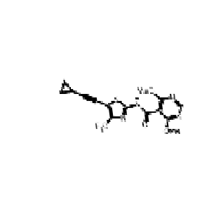 COc1ncnc(OC)c1C(=O)Nc1nc(C(F)(F)F)c(C#CC2CC2)s1